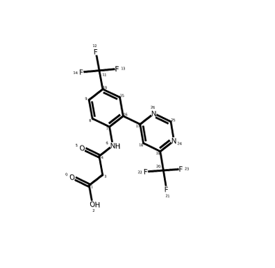 O=C(O)CC(=O)Nc1ccc(C(F)(F)F)cc1-c1cc(C(F)(F)F)ncn1